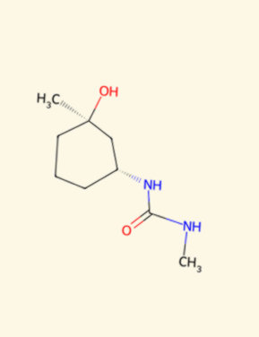 CNC(=O)N[C@@H]1CCC[C@@](C)(O)C1